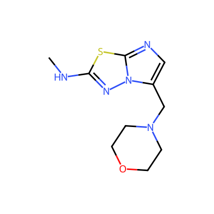 CNc1nn2c(CN3CCOCC3)cnc2s1